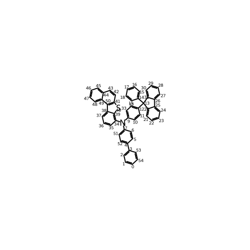 c1ccc(-c2ccc(N(c3ccc(C4(c5ccccc5)c5ccccc5-c5ccccc54)cc3)c3cccc4c3sc3ccc5ccccc5c34)cc2)cc1